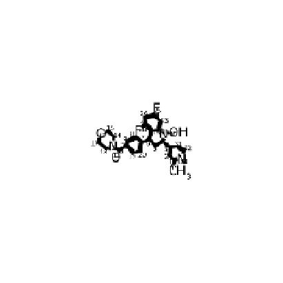 Cc1cc(/C(CC(c2ccc(C(=O)N3CCOCC3)cc2)c2ccc(F)cc2F)=N\O)ccn1